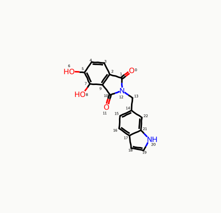 O=C1c2ccc(O)c(O)c2C(=O)N1Cc1ccc2cc[nH]c2c1